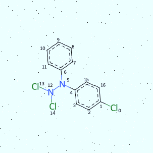 Clc1ccc(N(c2ccccc2)N(Cl)Cl)cc1